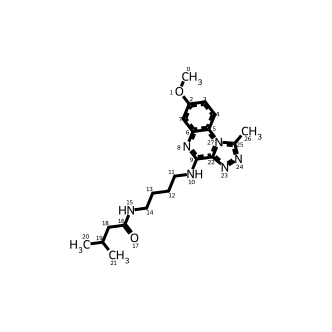 COc1ccc2c(c1)nc(NCCCCNC(=O)CC(C)C)c1nnc(C)n12